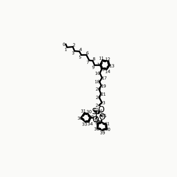 CCCCCCCCCCc1ccccc1CCCCCCCCCOP(=S)(Oc1ccccc1)Oc1ccccc1